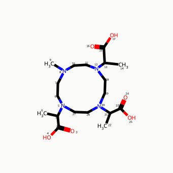 CC(C(=O)O)N1CCN(C)CCN(C(C)C(=O)O)CCN(C(C)C(=O)O)CC1